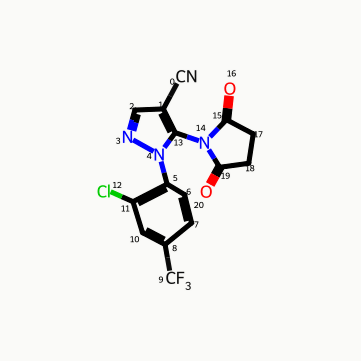 N#Cc1cnn(-c2ccc(C(F)(F)F)cc2Cl)c1N1C(=O)CCC1=O